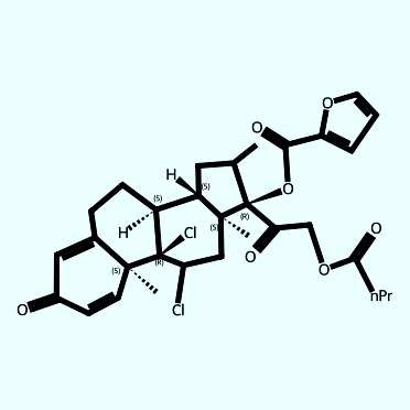 CCCC(=O)OCC(=O)[C@@]1(OC(=O)c2ccco2)C(C)C[C@H]2[C@@H]3CCC4=CC(=O)C=C[C@]4(C)[C@@]3(Cl)C(Cl)C[C@@]21C